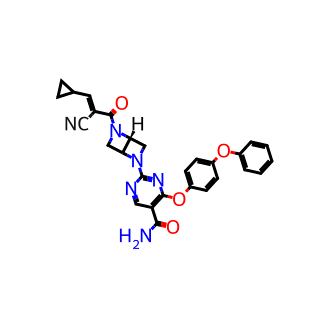 N#C/C(=C\C1CC1)C(=O)N1CC2[C@H]1CN2c1ncc(C(N)=O)c(Oc2ccc(Oc3ccccc3)cc2)n1